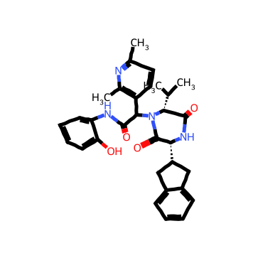 Cc1ccc(C(C(=O)Nc2ccccc2O)N2C(=O)[C@@H](C3Cc4ccccc4C3)NC(=O)[C@H]2C(C)C)c(C)n1